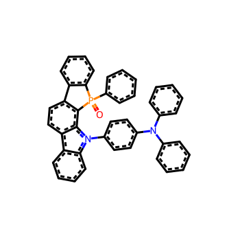 O=P1(c2ccccc2)c2ccccc2-c2ccc3c4ccccc4n(-c4ccc(N(c5ccccc5)c5ccccc5)cc4)c3c21